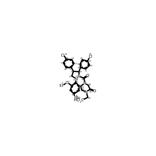 CCOc1cc(C(C)(C)C)ccc1N1CC(c2ccc(Cl)cc2)C(c2ccc(Cl)cc2)N1C(=O)N1CCN(CC(=O)O)C(=O)C1